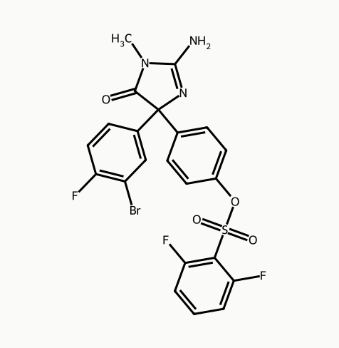 CN1C(=O)C(c2ccc(OS(=O)(=O)c3c(F)cccc3F)cc2)(c2ccc(F)c(Br)c2)N=C1N